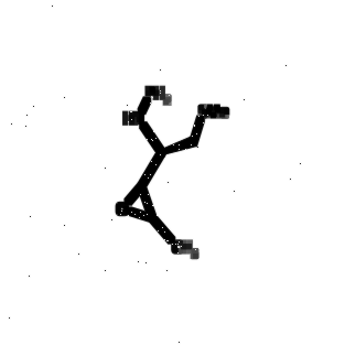 CSC[C@H](NP)C1OC1C